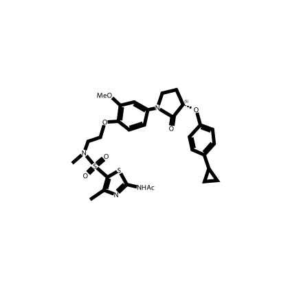 COc1cc(N2CC[C@H](Oc3ccc(C4CC4)cc3)C2=O)ccc1OCCN(C)S(=O)(=O)c1sc(NC(C)=O)nc1C